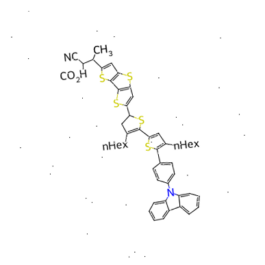 CCCCCCC1=C(c2cc(CCCCCC)c(-c3ccc(-n4c5ccccc5c5ccccc54)cc3)s2)SC(c2cc3sc4cc(C(C)C(C#N)C(=O)O)sc4c3s2)C1